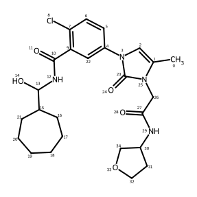 Cc1cn(-c2ccc(Cl)c(C(=O)NC(O)C3CCCCCC3)c2)c(=O)n1CC(=O)NC1CCOC1